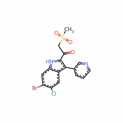 CS(=O)(=O)CC(=O)c1[nH]c2cc(Br)c(Cl)cc2c1-c1cccnc1